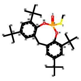 CSP1(=O)Oc2c(cc(C(C)(C)C)cc2C(C)(C)C)Cc2cc(C(C)(C)C)cc(C(C)(C)C)c2O1